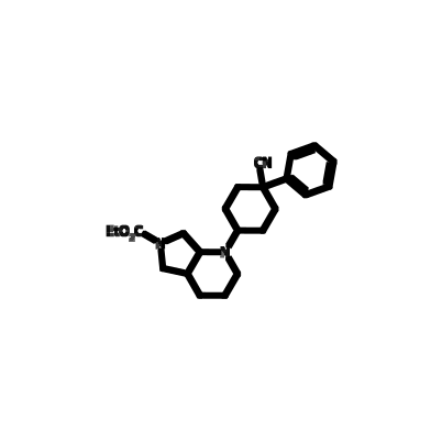 CCOC(=O)N1CC2CCCN(C3CCC(C#N)(c4ccccc4)CC3)C2C1